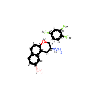 Bc1ccc2ccc3c(c2c1)C[C@H](N)[C@@H](c1cc(F)c(F)cc1F)O3